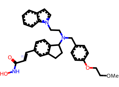 COCCOc1ccc(CN(CCn2ccc3ccccc32)C2CCc3cc(/C=C/C(=O)NO)ccc32)cc1